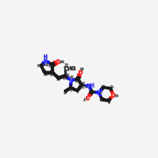 CC1C[C@H](NC(=O)N2CCOCC2)C(=O)N1[C@H](C=O)CC1CCNC1=O